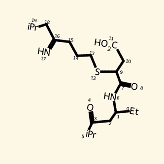 CCC(CC(=O)C(C)C)NC(=O)C(CC(=O)O)SCCCC(=N)CC(C)C